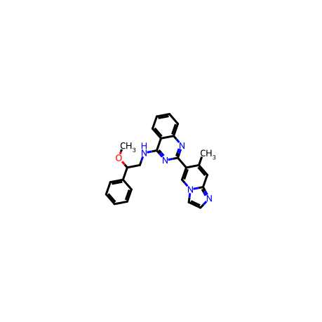 COC(CNc1nc(-c2cn3ccnc3cc2C)nc2ccccc12)c1ccccc1